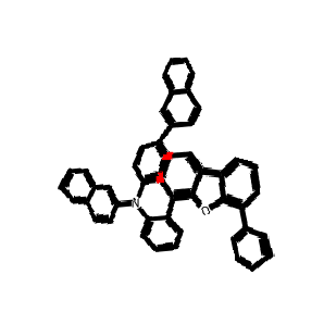 c1ccc(-c2cccc3c2oc2c(-c4ccccc4N(c4ccc(-c5ccc6ccccc6c5)cc4)c4ccc5ccccc5c4)cccc23)cc1